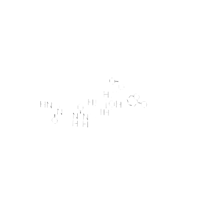 CC(=O)O[C@H]1C[C@]2(O)[C@@H]3CC[C@@H]4C[C@@H](NC(=O)NCCN5CCNCC5=O)CC[C@]4(C)[C@H]3CC[C@]2(C)[C@H]1c1ccc(=O)oc1